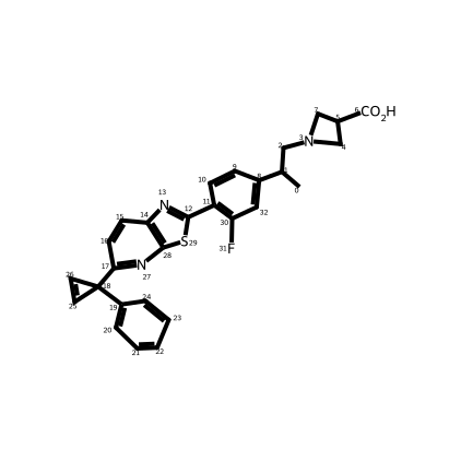 CC(CN1CC(C(=O)O)C1)c1ccc(-c2nc3ccc(C4(c5ccccc5)C=C4)nc3s2)c(F)c1